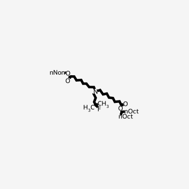 CCCCCCCCCOC(=O)CCCCCCCN(CCCCCCCC(=O)OC(CCCCCCCC)CCCCCCCC)CCCC(C)(C)F